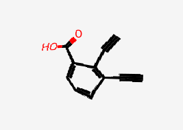 C#Cc1cccc(C(=O)O)c1C#C